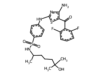 CC(CCCC(C)(C)O)NS(=O)(=O)c1ccc(Nc2nc(N)c(C(=O)c3c(F)cccc3F)s2)cc1